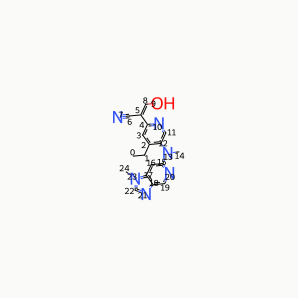 CCc1cc(/C(C#N)=C\O)ncc1N(C)c1cc2c(cn1)ncn2C